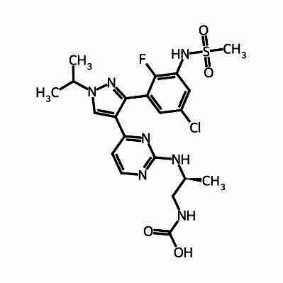 CC(C)n1cc(-c2ccnc(N[C@@H](C)CNC(=O)O)n2)c(-c2cc(Cl)cc(NS(C)(=O)=O)c2F)n1